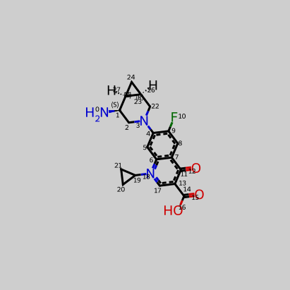 N[C@@H]1CN(c2cc3c(cc2F)c(=O)c(C(=O)O)cn3C2CC2)C[C@@H]2C[C@@H]21